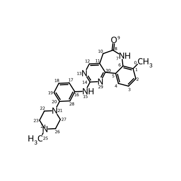 Cc1cccc2c1NC(=O)Cc1cnc(Nc3cccc(N4CCN(C)CC4)c3)nc1-2